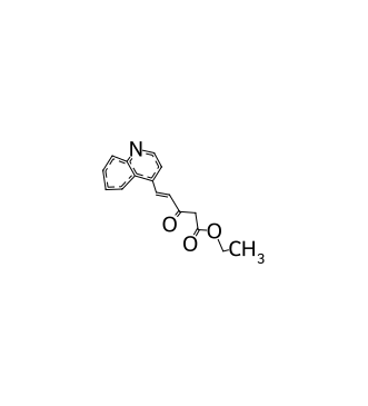 CCOC(=O)CC(=O)C=Cc1ccnc2ccccc12